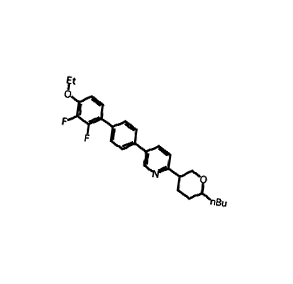 CCCCC1CCC(c2ccc(-c3ccc(-c4ccc(OCC)c(F)c4F)cc3)cn2)CO1